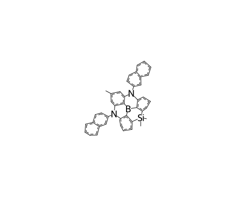 Cc1cc2c3c(c1)N(c1ccc4ccccc4c1)c1cccc4c1B3c1c(cccc1[Si]4(C)C)N2c1ccc2ccccc2c1